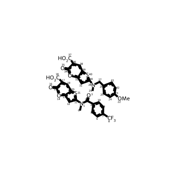 CN(C(=O)c1ccc(C(F)(F)F)cc1)c1cc2oc(=O)c(C(=O)O)cc2s1.COc1ccc(CN(C)c2cc3oc(=O)c(C(=O)O)cc3s2)cc1